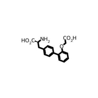 N[C@@H](Cc1ccc(-c2ccccc2OCC(=O)O)cc1)C(=O)O